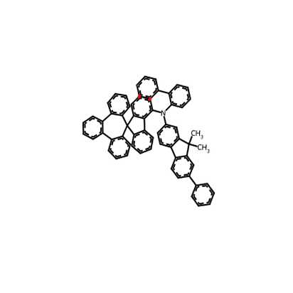 CC1(C)c2cc(-c3ccccc3)ccc2-c2ccc(N(c3ccccc3-c3ccccc3)c3cccc4c3-c3ccccc3C43c4ccccc4-c4ccccc4-c4ccccc43)cc21